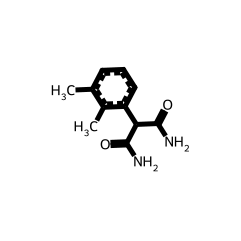 Cc1cccc(C(C(N)=O)C(N)=O)c1C